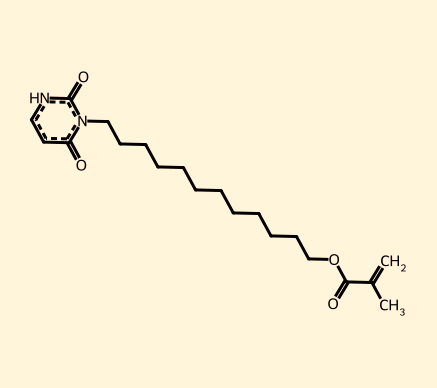 C=C(C)C(=O)OCCCCCCCCCCCCn1c(=O)cc[nH]c1=O